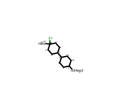 CCCCCCCC1CCC(C2CCC(F)(CCCC)CC2)CC1